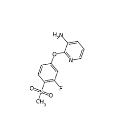 CS(=O)(=O)c1ccc(Oc2ncccc2N)cc1F